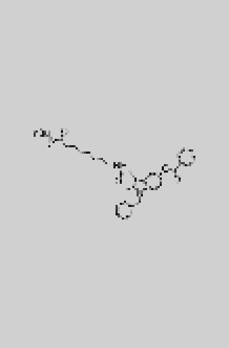 CCCCN(C)C(=O)CCCCCCCNC(=O)Cc1c(C)n(Cc2ccccc2)c2ccc(OC(=O)c3ccccc3)cc12